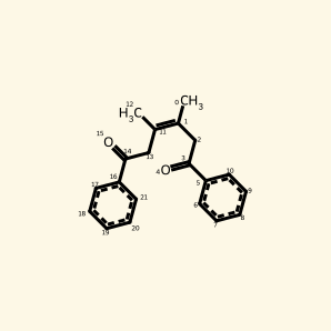 CC(CC(=O)c1ccccc1)=C(C)CC(=O)c1ccccc1